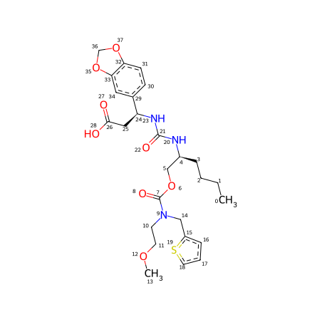 CCCC[C@@H](COC(=O)N(CCOC)Cc1cccs1)NC(=O)N[C@@H](CC(=O)O)c1ccc2c(c1)OCO2